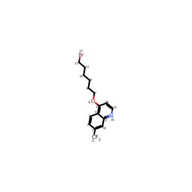 FC(F)(F)c1ccc2c(OCCCCCCBr)ccnc2c1